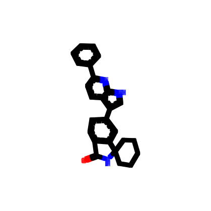 O=C1NC2(CCCCC2)c2cc(-c3c[nH]c4nc(-c5ccccc5)ccc34)ccc21